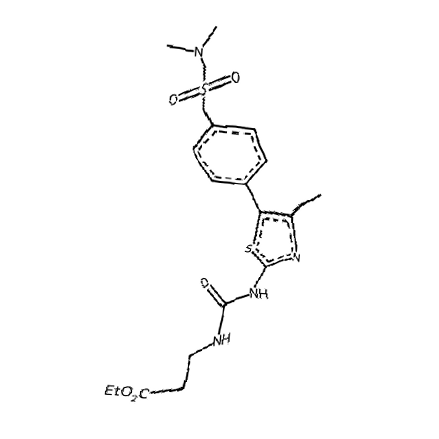 CCOC(=O)CCNC(=O)Nc1nc(C)c(-c2ccc(S(=O)(=O)N(C)C)cc2)s1